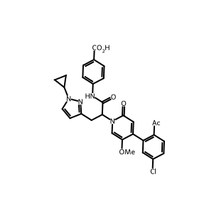 COc1cn(C(Cc2ccn(C3CC3)n2)C(=O)Nc2ccc(C(=O)O)cc2)c(=O)cc1-c1cc(Cl)ccc1C(C)=O